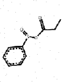 CCC(=O)OS(=O)c1ccccc1